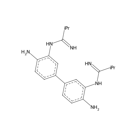 CC(C)C(=N)Nc1cc(-c2ccc(N)c(NC(=N)C(C)C)c2)ccc1N